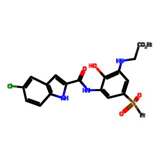 CCOC(=O)CNc1cc(S(=O)(=O)CC)cc(NC(=O)c2cc3cc(Cl)ccc3[nH]2)c1O